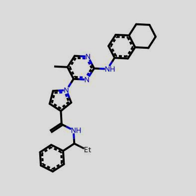 C=C(NC(CC)c1ccccc1)c1ccn(-c2nc(Nc3ccc4c(c3)CCCC4)ncc2C)c1